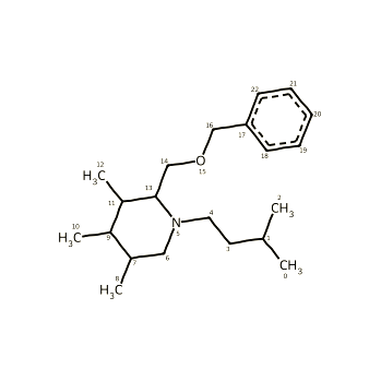 CC(C)CCN1CC(C)C(C)C(C)C1COCc1ccccc1